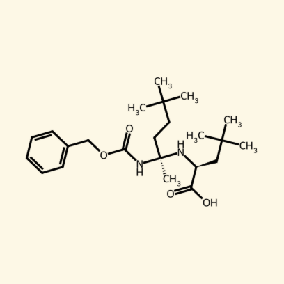 CC(C)(C)CC[C@](C)(NC(=O)OCc1ccccc1)N[C@@H](CC(C)(C)C)C(=O)O